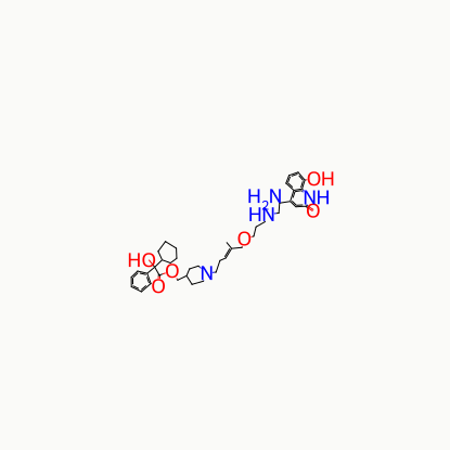 C/C(=C\CCN1CCC(COC(=O)C(O)(c2ccccc2)C2CCCCC2)CC1)COCCCNC[C@H](N)c1cc(=O)[nH]c2c(O)cccc12